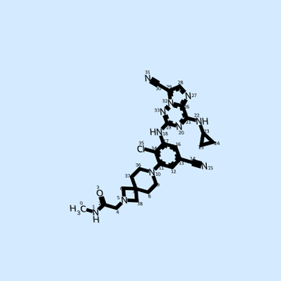 CNC(=O)CN1CC2(CCN(c3cc(C#N)cc(Nc4nc(NC5CC5)c5ncc(C#N)n5n4)c3Cl)CC2)C1